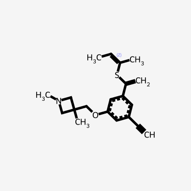 C#Cc1cc(OCC2(C)CN(C)C2)cc(C(=C)S/C(C)=C\C)c1